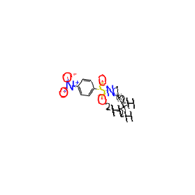 [2H]C([2H])([2H])[C@@H]1CN1S(=O)(=O)c1ccc([N+](=O)[O-])cc1